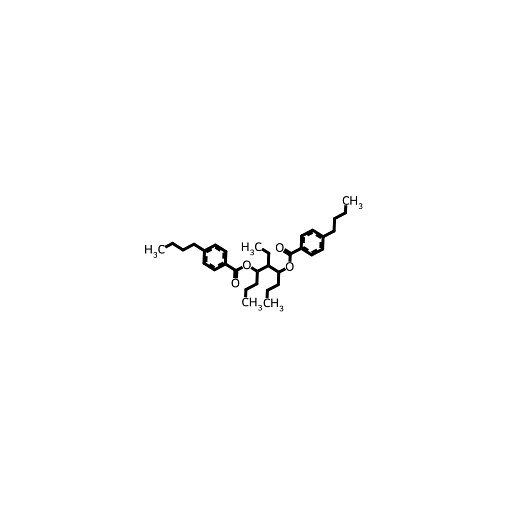 CCCCc1ccc(C(=O)OC(CCC)C(CC)C(CCC)OC(=O)c2ccc(CCCC)cc2)cc1